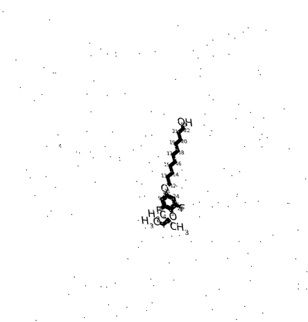 CCC(C)(C)Oc1c(F)cc(OCCCCCCCCCCCO)cc1F